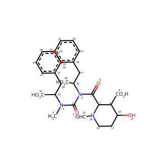 CN(C(=O)N(C(=O)C1C(C(=O)O)C(O)CCN1[C]=O)C(Cc1ccccc1)C(=O)O)C(Cc1ccccc1)C(=O)O